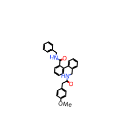 COc1ccc(CC(=O)NCc2ccccc2-c2ccccc2C(=O)NCc2ccccc2)cc1